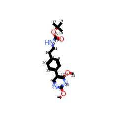 COc1ncc(-c2ccc(CCNC(=O)OC(C)(C)C)cc2)c(OC)n1